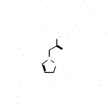 [CH2]OC(=O)CN1C=CCO1